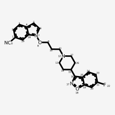 N#Cc1ccc2ccn(OCCCN3CCC(c4noc5cc(F)ccc45)CC3)c2c1